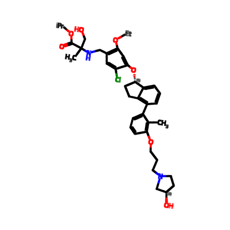 CCOc1cc(O[C@H]2CCc3c(-c4cccc(OCCCN5CC[C@@H](O)C5)c4C)cccc32)c(Cl)cc1CNC(C)(CO)C(=O)OC(C)C